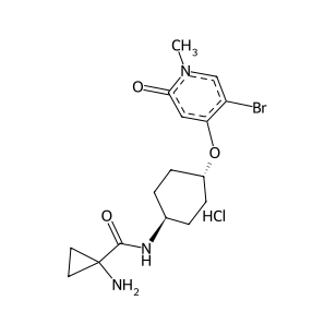 Cl.Cn1cc(Br)c(O[C@H]2CC[C@H](NC(=O)C3(N)CC3)CC2)cc1=O